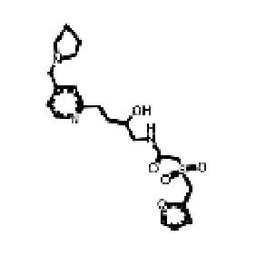 O=C(CS(=O)(=O)Cc1ccco1)NCC(O)CCc1cc(CN2CCCC2)ccn1